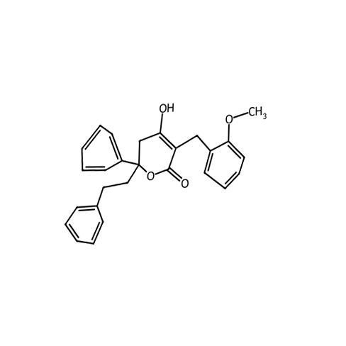 COc1ccccc1CC1=C(O)CC(CCc2ccccc2)(c2ccccc2)OC1=O